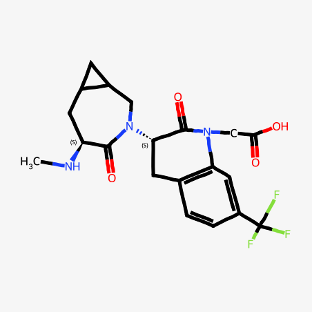 CN[C@H]1CC2CC2CN([C@H]2Cc3ccc(C(F)(F)F)cc3N(CC(=O)O)C2=O)C1=O